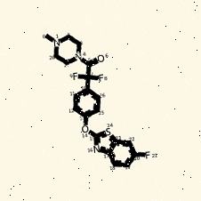 CN1CCN(C(=O)C(F)(F)c2ccc(Oc3nc4ccc(F)cc4s3)cc2)CC1